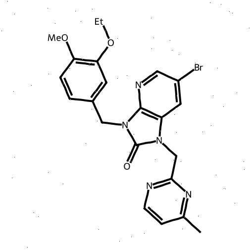 CCOc1cc(Cn2c(=O)n(Cc3nccc(C)n3)c3cc(Br)cnc32)ccc1OC